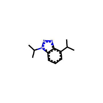 CC(C)c1cccc2c1nnn2C(C)C